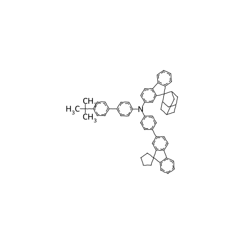 CC(C)(C)c1ccc(-c2ccc(N(c3ccc(-c4ccc5c(c4)C4(CCCC4)c4ccccc4-5)cc3)c3ccc4c(c3)C3(c5ccccc5-4)C4CC5CC(C4)CC3C5)cc2)cc1